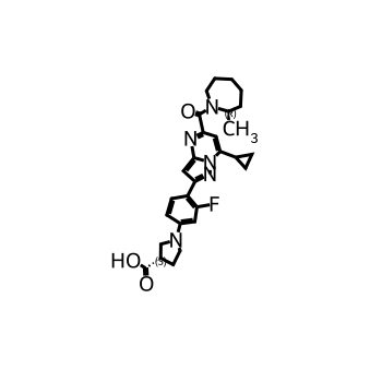 C[C@@H]1CCCCCN1C(=O)c1cc(C2CC2)n2nc(-c3ccc(N4CC[C@H](C(=O)O)C4)cc3F)cc2n1